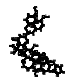 COc1ccc(CN(Cc2ccc(OC)cc2)c2cc(C)c(C(F)(F)F)c(-c3c(Cl)c4c5c(nc(OCCn6cccn6)nc5c3F)N([C@H](C)c3cccnc3NC(=O)O)CCO4)n2)cc1